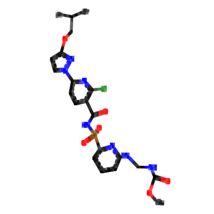 CC(C)C(COc1ccn(-c2ccc(C(=O)NS(=O)(=O)c3cccc(NCNC(=O)OC(C)(C)C)n3)c(Cl)n2)n1)C(C)C